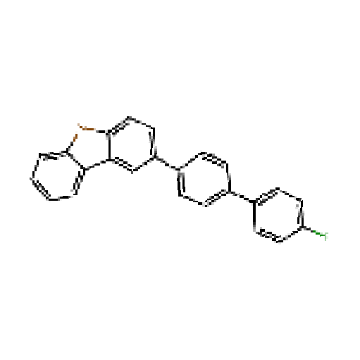 Fc1ccc(-c2ccc(-c3ccc4sc5ccccc5c4c3)cc2)cc1